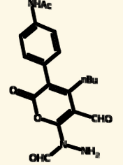 CCCCc1c(C=O)c(N(N)C=O)oc(=O)c1-c1ccc(NC(C)=O)cc1